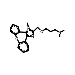 CN(C)CCCOCc1nc2c(n1C)-c1ccccc1Oc1ccccc1-2